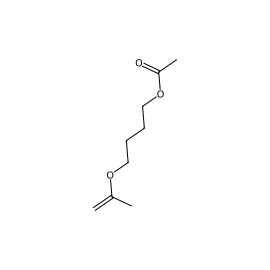 C=C(C)OCCCCOC(C)=O